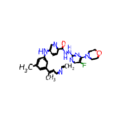 C=C/N=C\C=C(/C)c1cc(C)cc(Nc2ccc(C(=O)NNc3ncc(F)c(N4CCOCC4)n3)nc2)c1